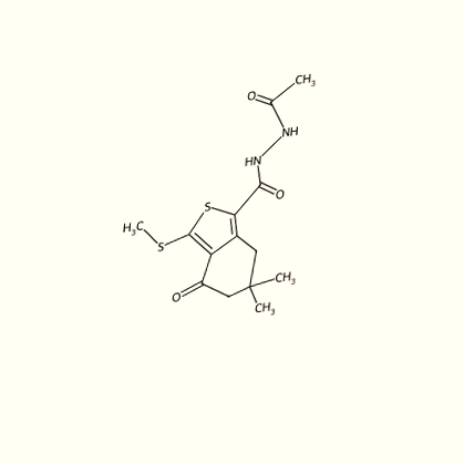 CSc1sc(C(=O)NNC(C)=O)c2c1C(=O)CC(C)(C)C2